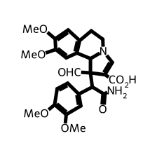 COc1ccc(C(C(N)=O)C2(C=O)C(C(=O)O)=CN3CCc4cc(OC)c(OC)cc4C32)cc1OC